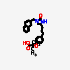 CC(C)(Oc1ccc(CCCC2CN(Cc3ccc4ccccc4c3)C(=O)N2)cc1)C(=O)O